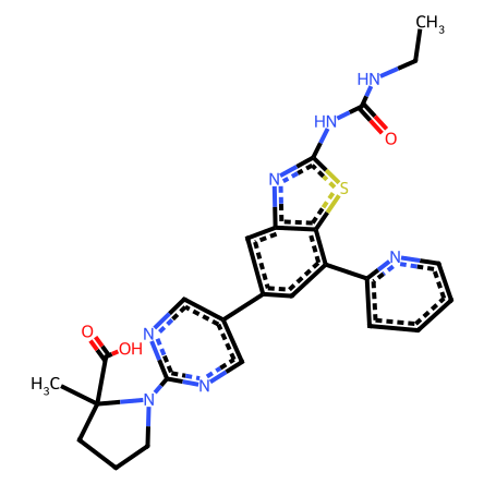 CCNC(=O)Nc1nc2cc(-c3cnc(N4CCCC4(C)C(=O)O)nc3)cc(-c3ccccn3)c2s1